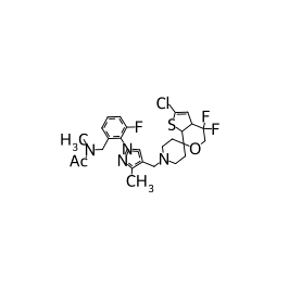 CC(=O)N(C)Cc1cccc(F)c1-n1cc(CN2CCC3(CC2)OCC(F)(F)C2C=C(Cl)SC23)c(C)n1